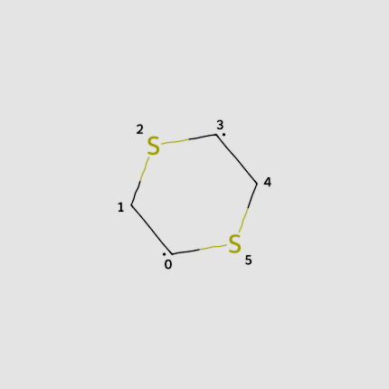 [CH]1CS[CH]CS1